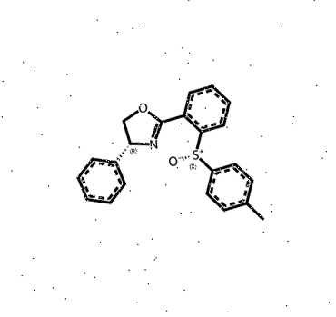 Cc1ccc([S@+]([O-])c2ccccc2C2=N[C@H](c3ccccc3)CO2)cc1